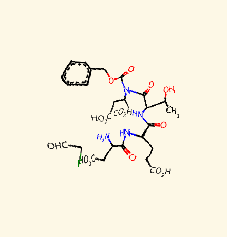 CC(O)C(NC(=O)C(CCC(=O)O)NC(=O)C(N)CC(=O)O)C(=O)N(C(=O)OCc1ccccc1)C(CC(=O)O)C(=O)O.O=CCF